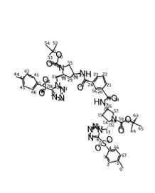 Cc1ccc(S(=O)(=O)c2nnnn2C[C@@H]2C[C@H](NC(=O)c3cccc(C(=O)N[C@H]4C[C@@H](Cn5nnnc5S(=O)(=O)c5ccc(C)cc5)N(C(=O)OC(C)(C)C)C4)c3)CN2C(=O)OC(C)(C)C)cc1